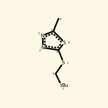 Cc1nnc(SCC(C)(C)C)s1